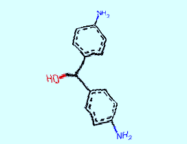 Nc1ccc([C](O)c2ccc(N)cc2)cc1